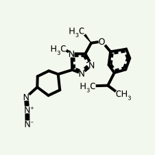 CC(C)c1cccc(O[C@H](C)c2nnc(C3CCC(N=[N+]=[N-])CC3)n2C)c1